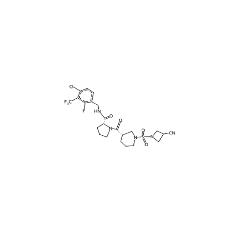 N#CC1CN(S(=O)(=O)N2CCC[C@H](C(=O)N3CCC[C@@H]3C(=O)NCc3ccc(Cl)c(C(F)(F)F)c3F)C2)C1